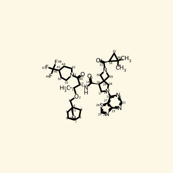 C[C@@H](OCC12CCC(CC1)OC2)[C@@H](NC(=O)[C@@H]1CN(c2ncnc3ncsc23)CC12CN(C(=O)[C@H]1CC1(C)C)C2)C(=O)N1CCC(C(F)(F)F)CC1